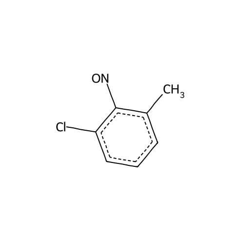 Cc1cccc(Cl)c1N=O